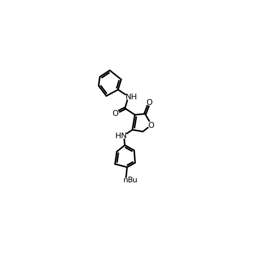 CCCCc1ccc(NC2=C(C(=O)Nc3ccccc3)C(=O)OC2)cc1